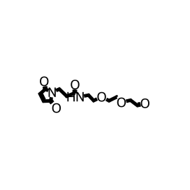 O=CCOCCOCCNC(=O)CCN1C(=O)C=CC1=O